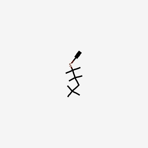 C#CSC(C)(C)C(C)(C)CC(C)(C)C